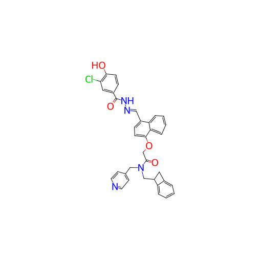 O=C(N/N=C/c1ccc(OCC(=O)N(Cc2ccncc2)CC2Cc3ccccc32)c2ccccc12)c1ccc(O)c(Cl)c1